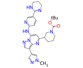 Cn1cc(-c2cnn3c(Nc4ccc(C5=NCCCN5)cn4)cc(C4CCCN(C(=O)OC(C)(C)C)C4)nc23)cn1